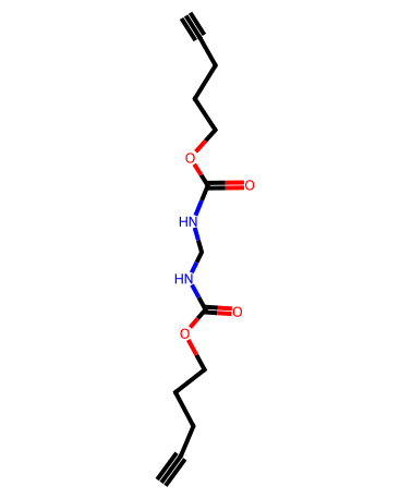 C#CCCCOC(=O)NCNC(=O)OCCCC#C